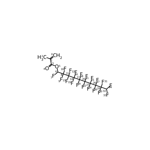 C=C(C)C(=O)OC(F)C(F)(F)C(F)(F)C(F)(F)C(F)(F)C(F)(F)C(F)(F)C(F)(F)C(F)(F)C(F)F